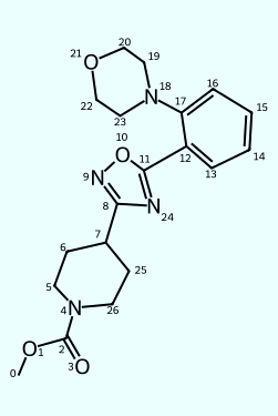 COC(=O)N1CCC(c2noc(-c3ccccc3N3CCOCC3)n2)CC1